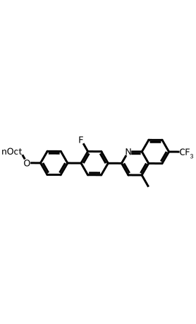 CCCCCCCCOc1ccc(-c2ccc(-c3cc(C)c4cc(C(F)(F)F)ccc4n3)cc2F)cc1